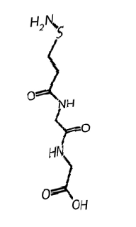 NSCCC(=O)NCC(=O)NCC(=O)O